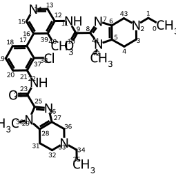 CCN1CCc2c(nc(C(=O)Nc3cncc(-c4cccc(NC(=O)c5nc6c(n5C)CCN(CC)C6)c4Cl)c3C)n2C)C1